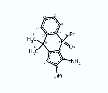 CC(C)c1sc2c(c1N)P(=O)(C(C)C)c1ccccc1C2(C)C